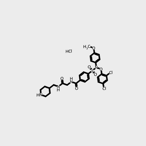 COc1ccc(N(Oc2ccc(Cl)cc2Cl)S(=O)(=O)c2ccc(C(=O)NCC(=O)NCC3CCNCC3)cc2)cc1.Cl